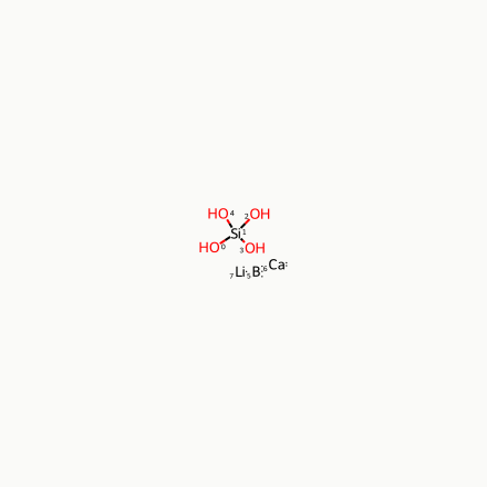 O[Si](O)(O)O.[B].[Ca].[Li]